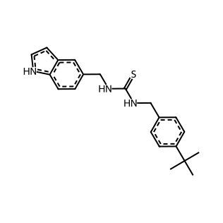 CC(C)(C)c1ccc(CNC(=S)NCc2ccc3[nH]ccc3c2)cc1